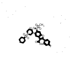 CNC(=O)c1c(-c2ccc(F)cc2)oc2cc(N(C)S(C)(=O)=O)c([C@@H]3CCCN(S(=O)(=O)C4CCCCC4)C3)cc12